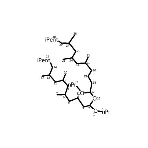 CCCOC(CCCC(C)CC(C)CC(C)CC(C)CCC)OC(CCCC(C)CC(C)CC(C)CC(C)CCC)OCCC